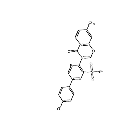 CCS(=O)(=O)c1cc(-c2ccc(Cl)cc2)cnc1-c1coc2cc(C(F)(F)F)ccc2c1=O